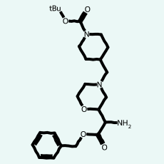 CC(C)(C)OC(=O)N1CCC(CN2CCOC(C(N)C(=O)OCc3ccccc3)C2)CC1